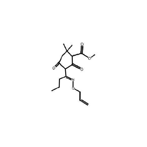 C=CCON=C(CCC)C1C(=O)CC(C)(C)C(C(=O)OC)C1=O